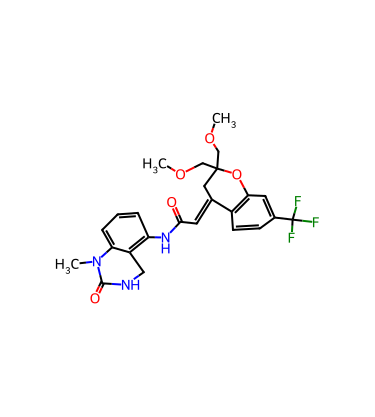 COCC1(COC)C/C(=C\C(=O)Nc2cccc3c2CNC(=O)N3C)c2ccc(C(F)(F)F)cc2O1